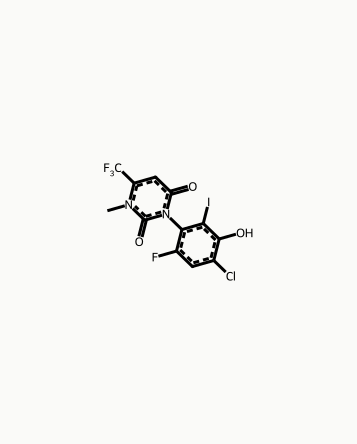 Cn1c(C(F)(F)F)cc(=O)n(-c2c(F)cc(Cl)c(O)c2I)c1=O